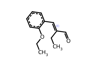 CCOc1ccccc1/C=C(/C=O)CC